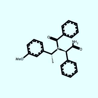 COc1cccc([C@@H](C)N(C(=O)c2ccccc2)[C@@H](C(N)=O)c2ccccc2)c1